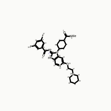 CNC(=O)C1CCC(n2/c(=N/C(=O)c3cc(F)cc(F)c3)[nH]c3cnc(OCCN4CCCCC4)cc32)CC1